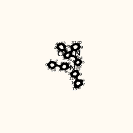 c1ccc(-c2ccc(N(c3ccc(-c4ccccc4)cc3)c3cccc(-c4nc5ccccc5c5c4ccc4oc6ccccc6c45)c3)cc2)cc1